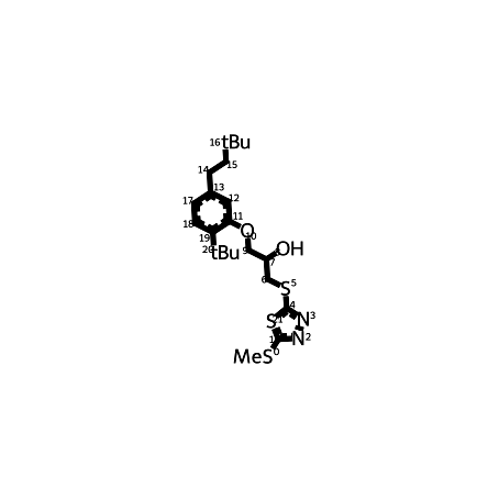 CSc1nnc(SCC(O)COc2cc(CCC(C)(C)C)ccc2C(C)(C)C)s1